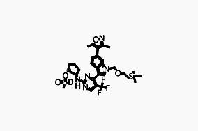 Cc1noc(C)c1-c1ccc2c(-c3nc(N[C@H]4CCC[C@H]4OS(C)(=O)=O)ncc3C(F)(F)F)cn(COCC[Si](C)(C)C)c2c1